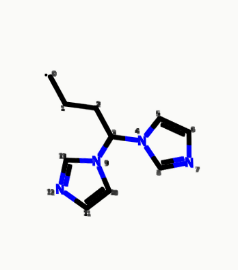 [CH2]CCC(n1ccnc1)n1ccnc1